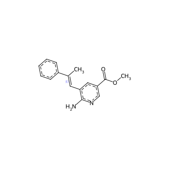 COC(=O)c1cnc(N)c(/C=C(\C)c2ccccc2)c1